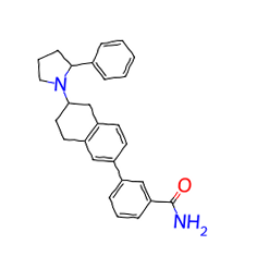 NC(=O)c1cccc(-c2ccc3c(c2)CCC(N2CCCC2c2ccccc2)C3)c1